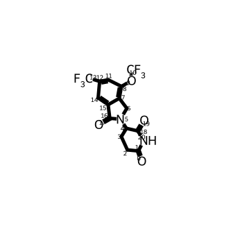 O=C1CCC(N2Cc3c(OC(F)(F)F)cc(C(F)(F)F)cc3C2=O)C(=O)N1